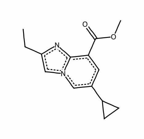 CCc1cn2cc(C3CC3)cc(C(=O)OC)c2n1